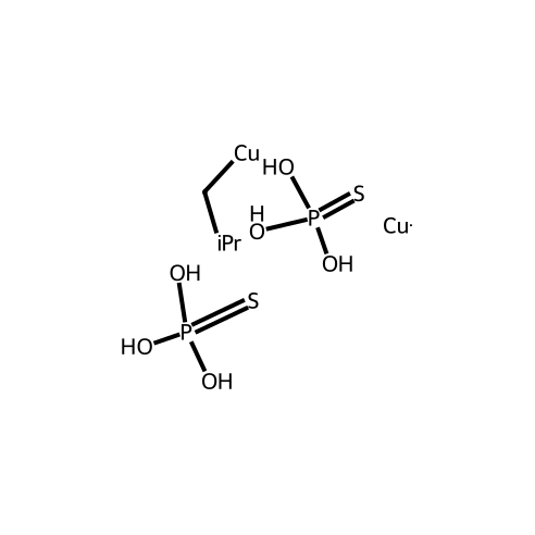 CC(C)[CH2][Cu].OP(O)(O)=S.OP(O)(O)=S.[Cu]